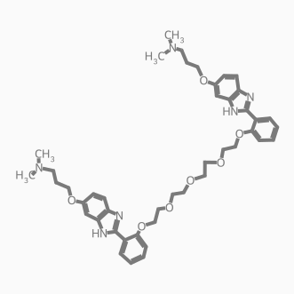 CN(C)CCCOc1ccc2nc(-c3ccccc3OCCOCCOCCOCCOc3ccccc3-c3nc4ccc(OCCCN(C)C)cc4[nH]3)[nH]c2c1